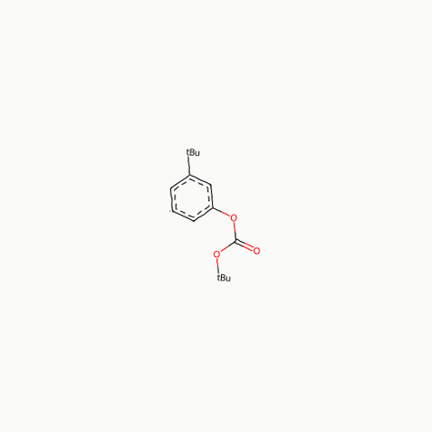 CC(C)(C)OC(=O)Oc1c[c]cc(C(C)(C)C)c1